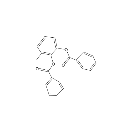 Cc1cccc(OC(=O)c2ccccc2)c1OC(=O)c1ccccc1